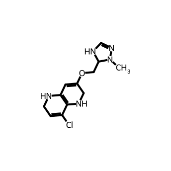 CN1N=CNC1COC1=CC2=C(NC1)C(Cl)=CCN2